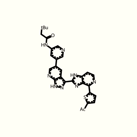 CC(=O)c1ccc(-c2nccc3[nH]c(-c4n[nH]c5ncc(-c6cncc(NC(=O)CC(C)(C)C)c6)cc45)nc23)s1